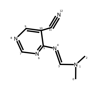 CN(C)C=Nc1ncncc1C#N